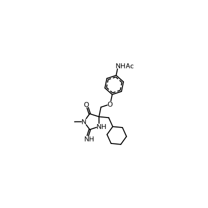 CC(=O)Nc1ccc(OCC2(CC3CCCCC3)NC(=N)N(C)C2=O)cc1